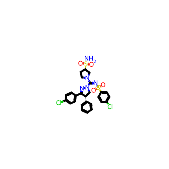 NS(=O)(=O)[C@@H]1CCN(/C(=N/S(=O)(=O)c2ccc(Cl)cc2)N2C[C@H](c3ccccc3)C(c3ccc(Cl)cc3)=N2)C1